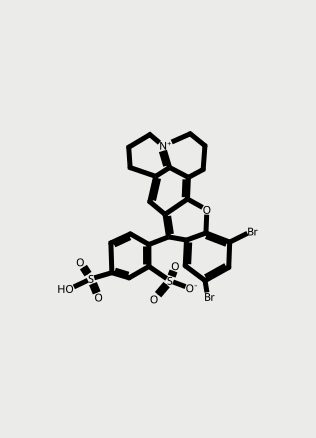 O=S(=O)([O-])c1cc(S(=O)(=O)O)ccc1C1=c2cc3c4c(c2Oc2c(Br)cc(Br)cc21)CCC[N+]=4CCC3